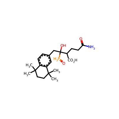 CC1(C)CCC(C)(C)c2cc(CC(O)([PH2]=O)C(CCC(N)=O)C(=O)O)ccc21